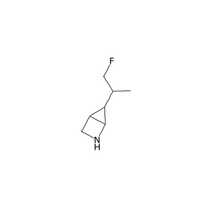 CC(CF)C1C2CNC21